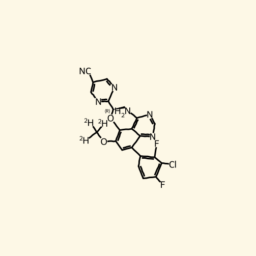 [2H]C([2H])([2H])Oc1cc(-c2ccc(F)c(Cl)c2F)c2ncnc(N)c2c1O[C@H](C)c1ncc(C#N)cn1